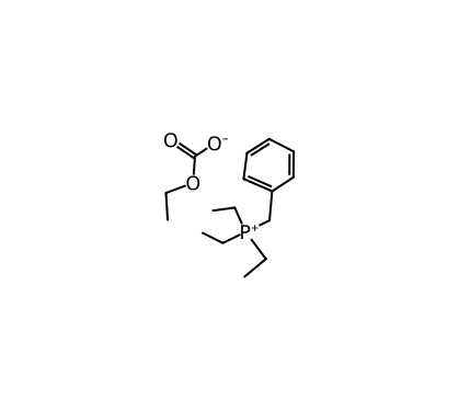 CCOC(=O)[O-].CC[P+](CC)(CC)Cc1ccccc1